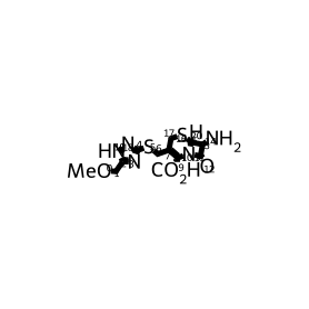 COCc1nc(SCC2=C(C(=O)O)N3C(=O)C(N)[C@H]3SC2)n[nH]1